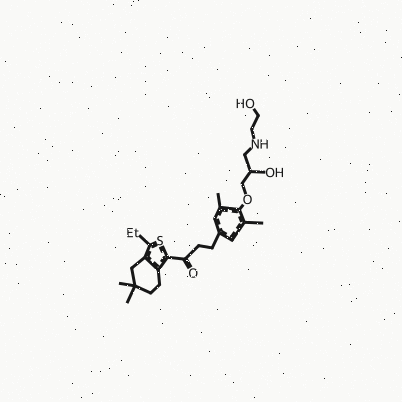 CCc1sc(C(=O)CCc2cc(C)c(OCC(O)CNCCO)c(C)c2)c2c1CC(C)(C)CC2